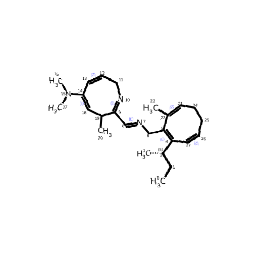 CC[C@H](C)C1=C(C/N=C/C2=N/C/C=C\C(N(C)C)=C/C2C)/C(C)=C\CC/C=C\1